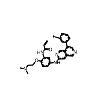 C=CC(=O)Nc1cc(Nc2cc3cncc(-c4cccc(F)c4)c3cn2)ccc1OCCN(C)C